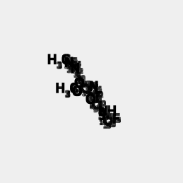 COc1cc2c(Oc3ccc(NSc4cccc(F)c4)cc3F)ccnc2cc1OCCCN1CCN(C)CC1